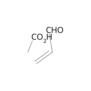 C=CC=O.CC(=O)O